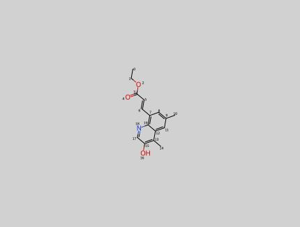 CCOC(=O)/C=C/c1cc(C)cc2c(C)c(O)cnc12